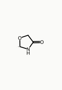 O=C1CO[CH]N1